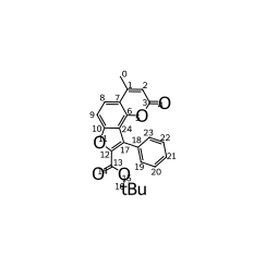 Cc1cc(=O)oc2c1ccc1oc(C(=O)OC(C)(C)C)c(-c3ccccc3)c12